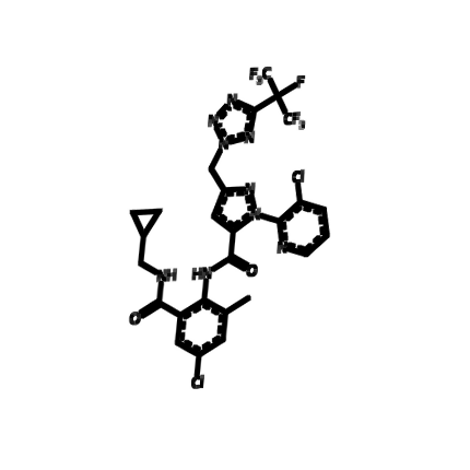 Cc1cc(Cl)cc(C(=O)NCC2CC2)c1NC(=O)c1cc(Cn2nnc(C(F)(C(F)(F)F)C(F)(F)F)n2)nn1-c1ncccc1Cl